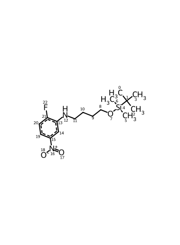 CC(C)(C)[Si](C)(C)OCCCCNc1cc([N+](=O)[O-])ccc1F